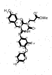 COC(=O)CCn1c(=O)[nH]/c(=N\c2ccc(Oc3ccc(F)cn3)c(F)c2)n(Cc2ccc(C)cc2)c1=O